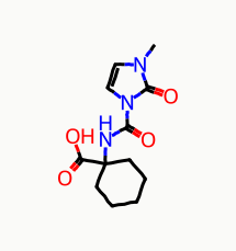 Cn1ccn(C(=O)NC2(C(=O)O)CCCCC2)c1=O